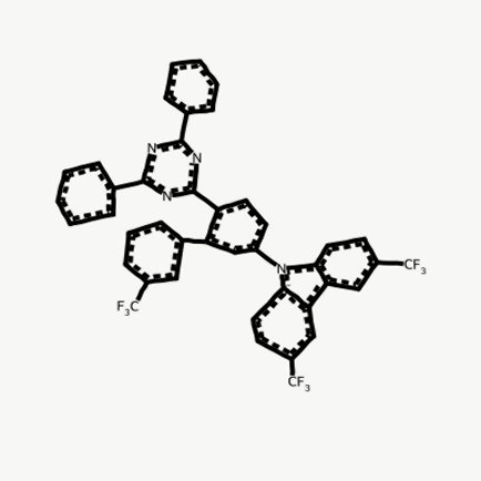 FC(F)(F)c1cccc(-c2cc(-n3c4ccc(C(F)(F)F)cc4c4cc(C(F)(F)F)ccc43)ccc2-c2nc(-c3ccccc3)nc(-c3ccccc3)n2)c1